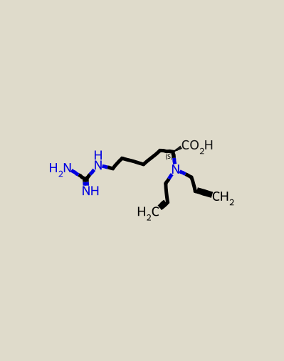 C=CCN(CC=C)[C@@H](CCCCNC(=N)N)C(=O)O